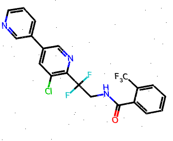 O=C(NCC(F)(F)c1ncc(-c2cccnc2)cc1Cl)c1ccccc1C(F)(F)F